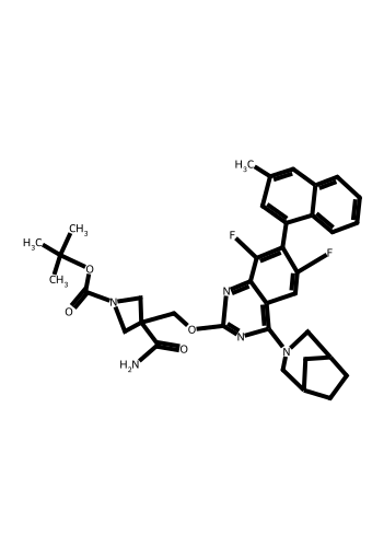 Cc1cc(-c2c(F)cc3c(N4CC5CCC(C5)C4)nc(OCC4(C(N)=O)CN(C(=O)OC(C)(C)C)C4)nc3c2F)c2ccccc2c1